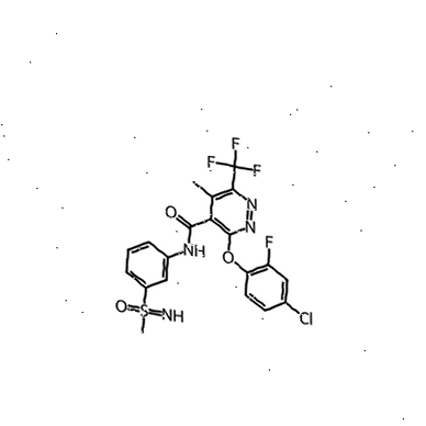 Cc1c(C(F)(F)F)nnc(Oc2ccc(Cl)cc2F)c1C(=O)Nc1cccc(S(C)(=N)=O)c1